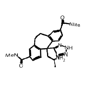 CNC(=O)c1ccc2c(c1)CCc1cc(C(=O)NC)ccc1C2(C[C@H](C)N)c1nn[nH]n1